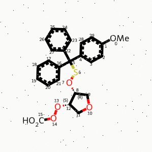 COc1ccc(C(SO[C@@H]2COC[C@@H]2OOC(=O)O)(c2ccccc2)c2ccccc2)cc1